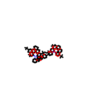 CC(C)(C)c1cc(-c2cccc3cccc(-c4ccccc4N(c4ccccc4-c4ccccc4)c4ccc(C(C)(C)CCC(C)(C)c5cc(-c6cccc7cccc(-c8ccccc8N(c8ccc(-c9ccc(-c%10ccccc%10)cc9)cc8)c8ccc(C(C)(C)C)cc8-c8ccccc8)c67)cc(C(C)(C)C)c5)cc4-c4ccccc4)c23)cc(C(C)(C)C)c1